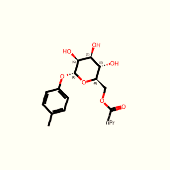 CCCC(=O)OC[C@H]1O[C@H](Oc2ccc(C)cc2)[C@@H](O)[C@@H](O)[C@@H]1O